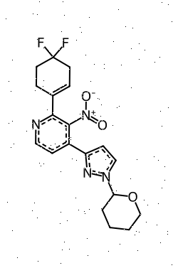 O=[N+]([O-])c1c(-c2ccn(C3CCCCO3)n2)ccnc1C1=CCC(F)(F)CC1